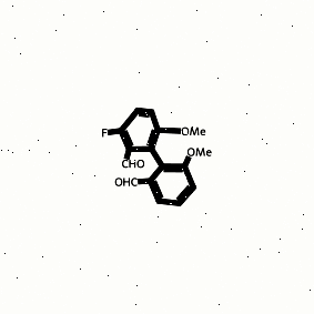 COc1cccc(C=O)c1-c1c(OC)ccc(F)c1C=O